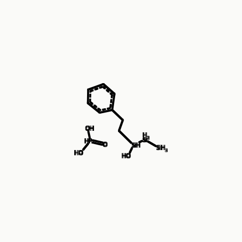 O=[PH](O)O.O[SiH](CCc1ccccc1)[SiH2][SiH3]